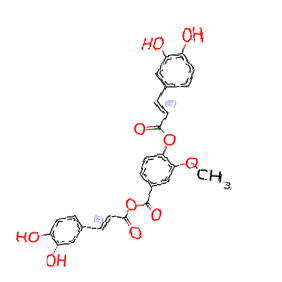 COc1cc(C(=O)OC(=O)/C=C/c2ccc(O)c(O)c2)ccc1OC(=O)/C=C/c1ccc(O)c(O)c1